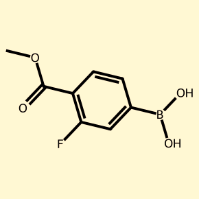 COC(=O)c1ccc(B(O)O)cc1F